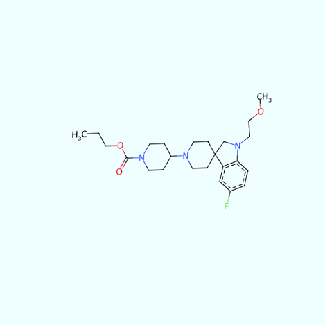 CCCOC(=O)N1CCC(N2CCC3(CC2)CN(CCOC)c2ccc(F)cc23)CC1